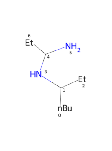 CCCCC(CC)NC(N)CC